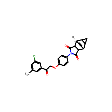 O=C(COc1ccc(N2C(=O)C3C4C=C[C@H](C5CC45)C3C2=O)cc1)c1cc(Cl)cc(C(F)(F)F)c1